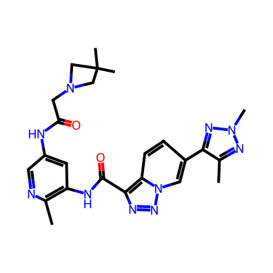 Cc1ncc(NC(=O)CN2CC(C)(C)C2)cc1NC(=O)c1nnn2cc(-c3nn(C)nc3C)ccc12